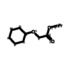 CCCOC(=O)COC1CCCCC1